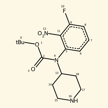 CC(C)(C)OC(=O)N(c1cccc(F)c1[N+](=O)[O-])C1CCNCC1